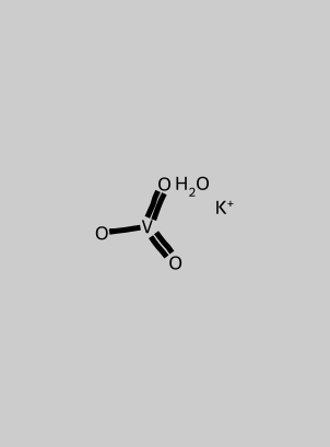 O.[K+].[O]=[V](=[O])[O-]